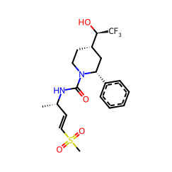 C[C@@H](/C=C/S(C)(=O)=O)NC(=O)N1CC[C@H]([C@@H](O)C(F)(F)F)C[C@@H]1c1ccccc1